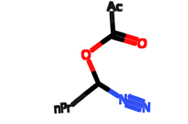 CCCC([N+]#N)OC(=O)C(C)=O